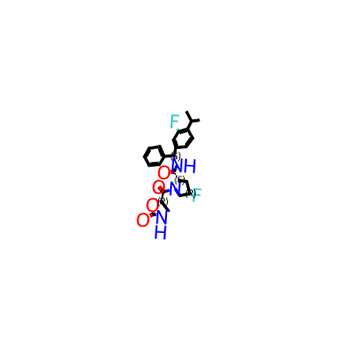 CC(C)c1ccc([C@@H](NC(=O)[C@@H]2C[C@@H](F)CN2C(=O)[C@H]2CNC(=O)O2)c2ccccc2)cc1F